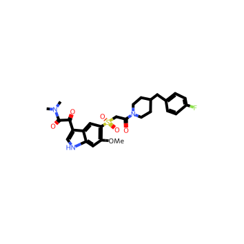 COc1cc2[nH]cc(C(=O)C(=O)N(C)C)c2cc1S(=O)(=O)CC(=O)N1CCC(Cc2ccc(F)cc2)CC1